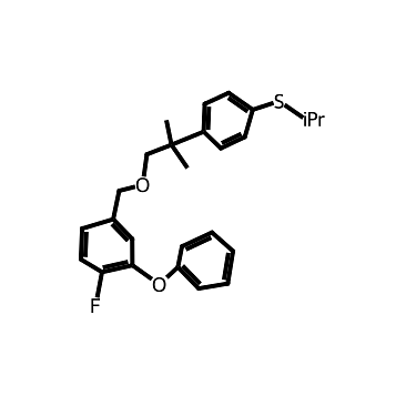 CC(C)Sc1ccc(C(C)(C)COCc2ccc(F)c(Oc3ccccc3)c2)cc1